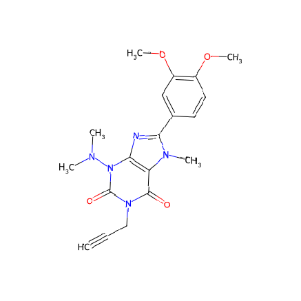 C#CCn1c(=O)c2c(nc(-c3ccc(OC)c(OC)c3)n2C)n(N(C)C)c1=O